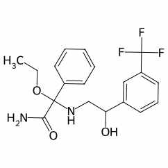 CCOC(NCC(O)c1cccc(C(F)(F)F)c1)(C(N)=O)c1ccccc1